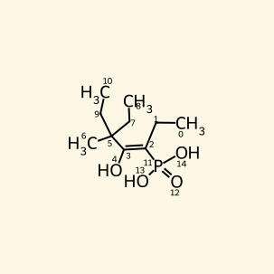 CCC(=C(O)C(C)(CC)CC)P(=O)(O)O